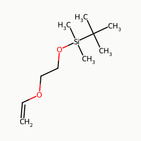 C=COCCO[Si](C)(C)C(C)(C)C